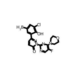 Bc1cc(Cl)c(O)c(-c2ccc(=O)n(-c3ncc(F)c(N4CCOCC4)n3)n2)c1